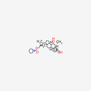 CC[C@H]1[C@@H](O)C2[C@@H]3CC[C@H]([C@H](C)CCCOC(=O)N4CCCCC4)C3(C)CC[C@@H]2[C@@]2(C)CC[C@@H](O)C[C@@H]12